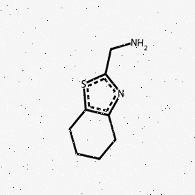 NCc1nc2c(s1)CCCC2